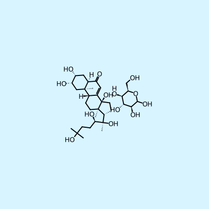 CC(C)(O)CC[C@@H](O)[C@](C)(O)[C@H]1CC[C@@]2(O)C3=CC(=O)[C@@H]4C[C@@H](O)[C@@H](O)C[C@]4(C)[C@H]3CC[C@]12C.OC[C@H]1OC(O)[C@@H](O)[C@H](O)[C@H]1O